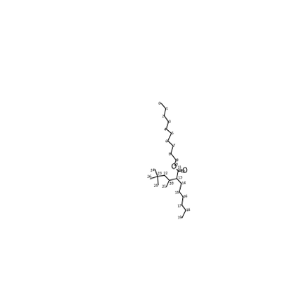 CCCCCCCCCCOC(=O)C(CCCCCC)C(C)CC(C)(C)C